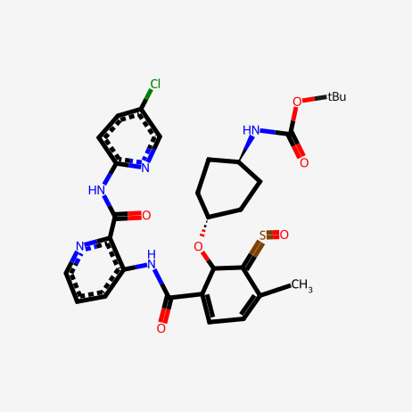 CC1=CC=C(C(=O)Nc2cccnc2C(=O)Nc2ccc(Cl)cn2)C(O[C@H]2CC[C@H](NC(=O)OC(C)(C)C)CC2)C1=S=O